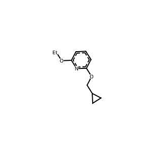 CCOc1cccc(OCC2CC2)n1